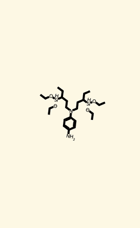 CCO[SiH](OCC)C(CC)CCN(CCC(CC)[SiH](OCC)OCC)c1ccc(N)cc1